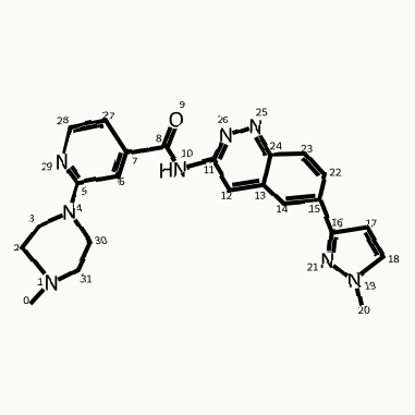 CN1CCN(c2cc(C(=O)Nc3cc4cc(-c5ccn(C)n5)ccc4nn3)ccn2)CC1